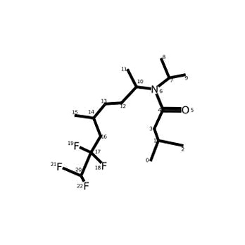 CC(C)CC(=O)N(C(C)C)C(C)CCC(C)CC(F)(F)C(F)F